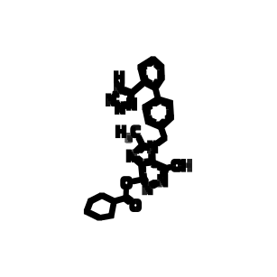 Cc1nc2c(OC(=O)C3CCCCC3)nnc(O)c2n1Cc1ccc(-c2ccccc2-c2nnn[nH]2)cc1